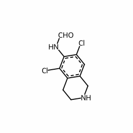 O=CNc1c(Cl)cc2c(c1Cl)CCNC2